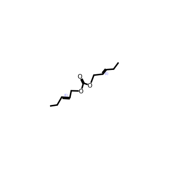 CC/C=C/COC(=O)OC/C=C/CC